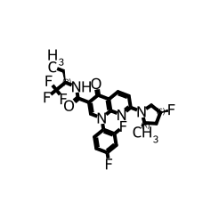 CC[C@@H](NC(=O)c1cn(-c2ccc(F)cc2F)c2nc(N3C[C@@H](F)C[C@H]3C)ccc2c1=O)C(F)(F)F